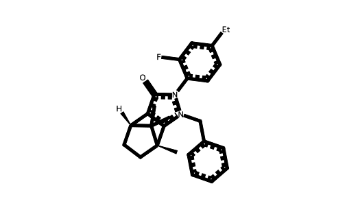 CCc1ccc(-n2c(=O)c3c(n2Cc2ccccc2)[C@]2(C)CC[C@H]3C2(C)C)c(F)c1